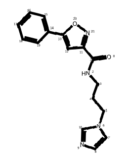 O=C(NCCCn1ccnc1)c1cc(-c2ccccc2)on1